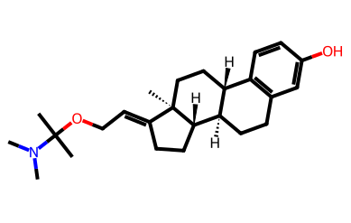 CN(C)C(C)(C)OC/C=C1\CC[C@H]2[C@@H]3CCc4cc(O)ccc4[C@H]3CC[C@]12C